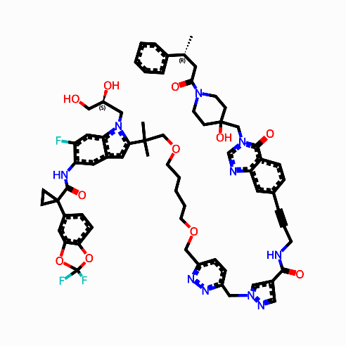 C[C@H](CC(=O)N1CCC(O)(Cn2cnc3cc(C#CCNC(=O)c4cnn(Cc5ccc(COCCCCCOCC(C)(C)c6cc7cc(NC(=O)C8(c9ccc%10c(c9)OC(F)(F)O%10)CC8)c(F)cc7n6C[C@H](O)CO)nn5)c4)ccc3c2=O)CC1)c1ccccc1